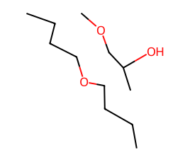 CCCCOCCCC.COCC(C)O